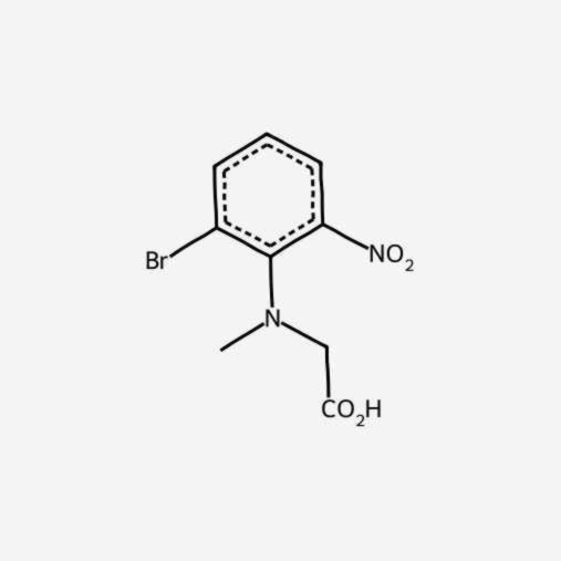 CN(CC(=O)O)c1c(Br)cccc1[N+](=O)[O-]